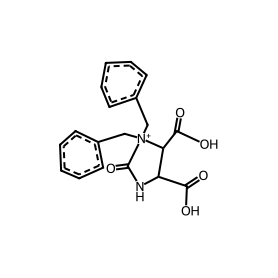 O=C(O)C1NC(=O)[N+](Cc2ccccc2)(Cc2ccccc2)C1C(=O)O